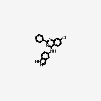 Clc1ccc2c(Nc3ccc4[nH]ncc4c3)nc(-c3ccccc3)nc2c1